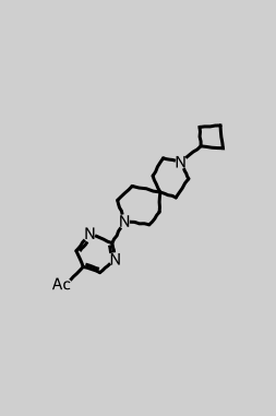 CC(=O)c1cnc(N2CCC3(CC2)CCN(C2CCC2)CC3)nc1